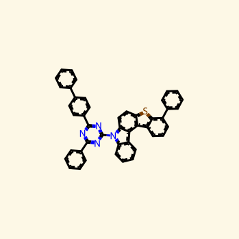 c1ccc(-c2ccc(-c3nc(-c4ccccc4)nc(-n4c5ccccc5c5c6c(ccc54)sc4c(-c5ccccc5)cccc46)n3)cc2)cc1